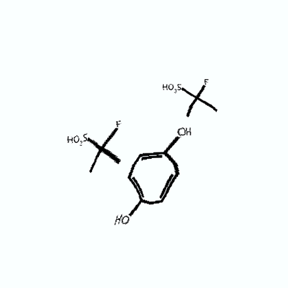 CC(C)(F)S(=O)(=O)O.CC(C)(F)S(=O)(=O)O.Oc1ccc(O)cc1